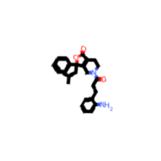 CC(C)CC1(c2ccccc2)OC(=O)C2=C1CN(C(=O)CCc1ccccc1N)CC2